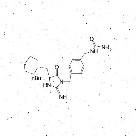 CCCCC1(CC2CCCCC2)NC(=N)N(Cc2ccc(CNC(N)=O)cc2)C1=O